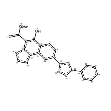 COC(=O)c1c(O)c2ccc(-c3cn(-c4ccccc4)nn3)cc2c2ncnn12